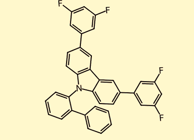 Fc1cc(F)cc(-c2ccc3c(c2)c2cc(-c4cc(F)cc(F)c4)ccc2n3-c2ccccc2-c2ccccc2)c1